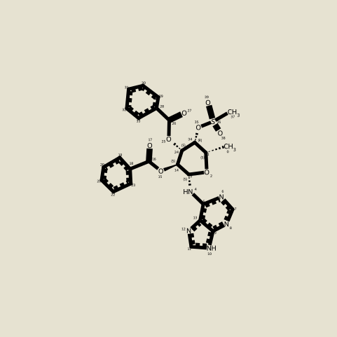 C[C@@H]1O[C@H](Nc2ncnc3[nH]cnc23)[C@@H](OC(=O)c2ccccc2)[C@H](OC(=O)c2ccccc2)[C@@H]1OS(C)(=O)=O